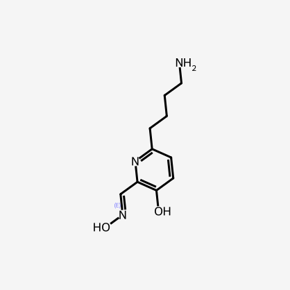 NCCCCc1ccc(O)c(/C=N/O)n1